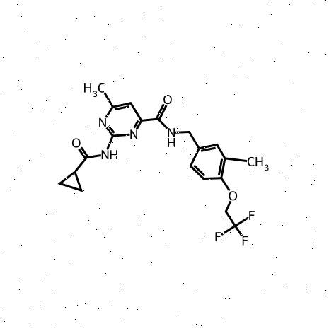 Cc1cc(C(=O)NCc2ccc(OCC(F)(F)F)c(C)c2)nc(NC(=O)C2CC2)n1